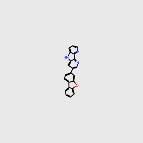 c1cnc2c(c1)[nH]c1cc(-c3ccc4c(c3)oc3ccccc34)cnc12